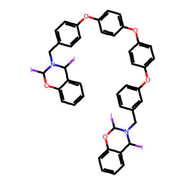 IC1Oc2ccccc2C(I)N1Cc1ccc(Oc2ccc(Oc3ccc(Oc4cccc(CN5C(I)Oc6ccccc6C5I)c4)cc3)cc2)cc1